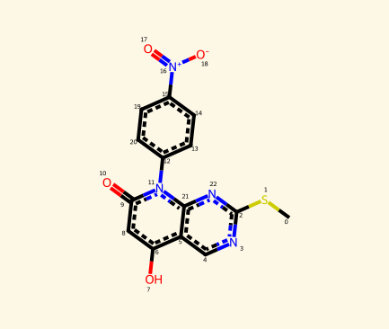 CSc1ncc2c(O)cc(=O)n(-c3ccc([N+](=O)[O-])cc3)c2n1